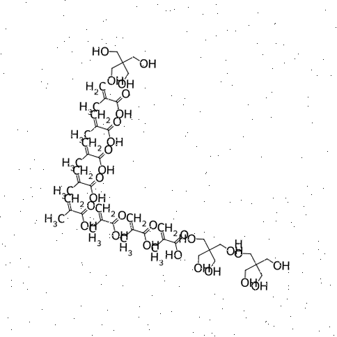 C=C(C)C(=O)O.C=C(C)C(=O)O.C=C(C)C(=O)O.C=C(C)C(=O)O.C=C(C)C(=O)O.C=C(C)C(=O)O.C=C(C)C(=O)O.C=C(C)C(=O)O.OCC(CO)(CO)CO.OCC(CO)(CO)CO.OCC(CO)(CO)CO